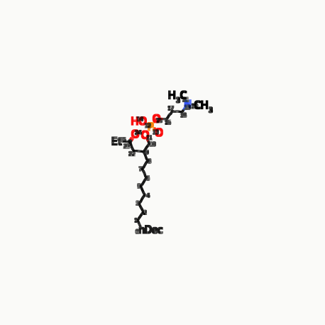 CCCCCCCCCCCCCCCCCCC(COP(=O)(O)OCCCN(C)C)CC(=O)CC